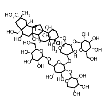 CC1(C)[C@@H](O[C@@H]2OC[C@H](O[C@@H]3O[C@H](CO[C@@H]4O[C@H](CO)[C@@H](O)[C@H](O)[C@H]4O)[C@@H](O)[C@H](O)[C@H]3O[C@@H]3OC[C@@H](O)[C@H](O)[C@H]3O)[C@H](O)[C@H]2O[C@@H]2O[C@H](CO)[C@@H](O)[C@H](O)[C@H]2O)CC[C@]2(C)[C@H]3CC=C4[C@@H]5C[C@@](C)(C(=O)O)CC[C@]5(CO)[C@H](O)C[C@@]4(C)[C@]3(C)CC[C@@H]12